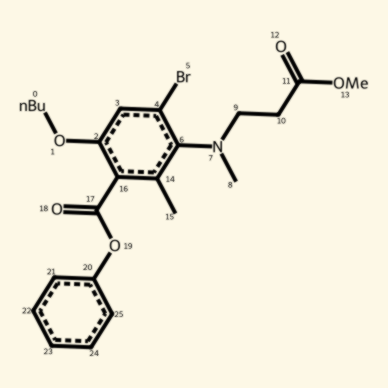 CCCCOc1cc(Br)c(N(C)CCC(=O)OC)c(C)c1C(=O)Oc1ccccc1